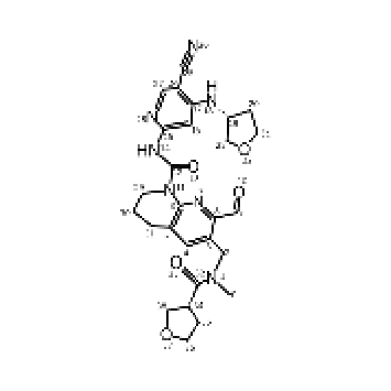 CN(Cc1cc2c(nc1C=O)N(C(=O)Nc1cc(N[C@@H]3CCOC3)c(C#N)cn1)CCC2)C(=O)[C@H]1CCOC1